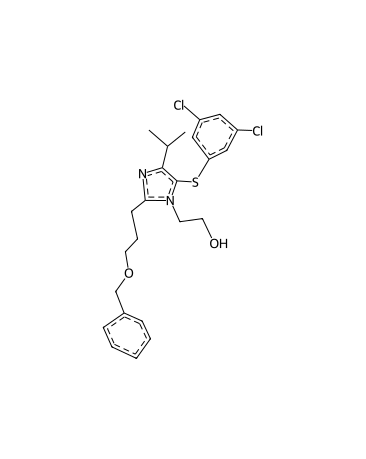 CC(C)c1nc(CCCOCc2ccccc2)n(CCO)c1Sc1cc(Cl)cc(Cl)c1